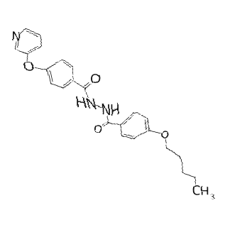 CCCCCOc1ccc(C(=O)NNC(=O)c2ccc(Oc3cccnc3)cc2)cc1